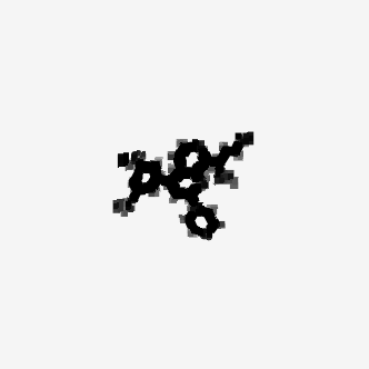 Cc1cc(C)cc(-c2cc(N3CCOCC3)nc3c(/C(N)=C/C=N)nccc23)c1